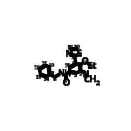 C=Nc1cc(C(=O)NCc2ccccc2)cc(-c2nccs2)c1OCC